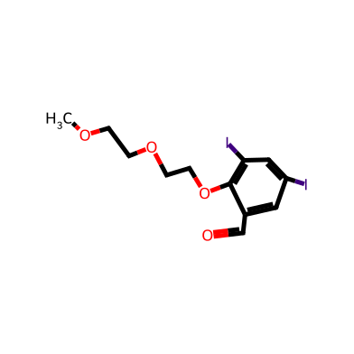 COCCOCCOc1c(I)cc(I)cc1C=O